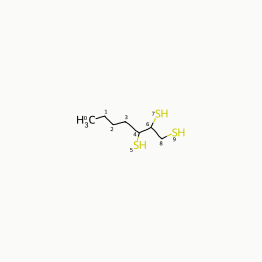 CCCCC(S)C(S)CS